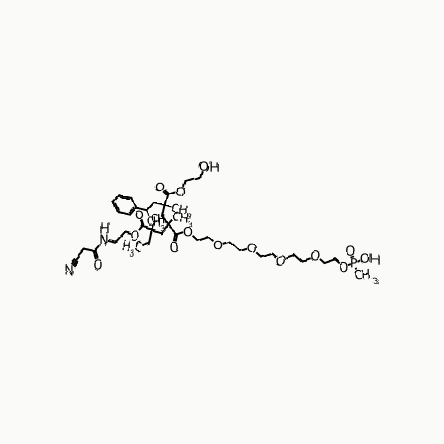 CCC(C)(CC(C)(CC(C)(CC(C)c1ccccc1)C(=O)OCCO)C(=O)OCCOCCOCCOCCOCCOP(C)(=O)O)C(=O)OCCNC(=O)CC#N